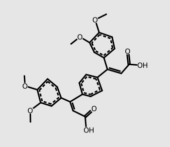 COc1ccc(C(=CC(=O)O)c2ccc(C(=CC(=O)O)c3ccc(OC)c(OC)c3)cc2)cc1OC